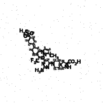 Cc1ccn(-c2cc(-c3ccc(S(C)(=O)=O)cc3)ccc2C(Oc2cc(N3CCC4(CC3)CN[C@H](C(=O)O)C4)nc(N)n2)C(F)(F)F)n1